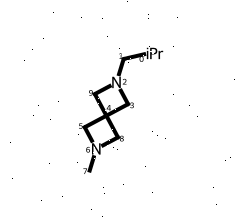 CC(C)CN1CC2(CN(C)C2)C1